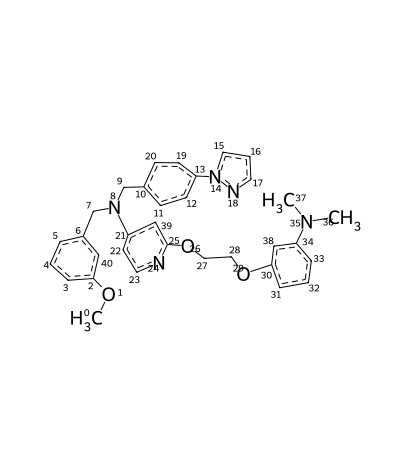 COc1cccc(CN(Cc2ccc(-n3cccn3)cc2)c2ccnc(OCCOc3cccc(N(C)C)c3)c2)c1